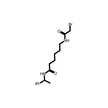 CC(C)C(C)NC(=O)CCCCCNC(=O)CBr